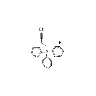 CCC#CCC[P+](c1ccccc1)(c1ccccc1)c1ccccc1.[Br-]